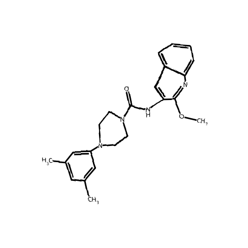 COc1nc2ccccc2cc1NC(=O)N1CCN(c2cc(C)cc(C)c2)CC1